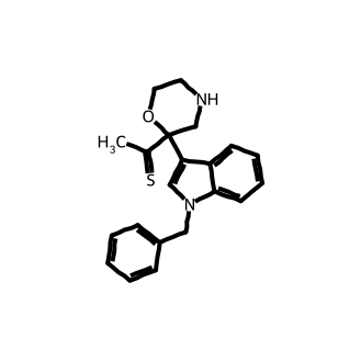 CC(=S)C1(c2cn(Cc3ccccc3)c3ccccc23)CNCCO1